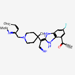 CN/N=C(\C=C/C=O)CN1CCC(C)(/C(C=N)=C2\Nc3cc(F)cc(C(=O)NC)c3N2)CC1